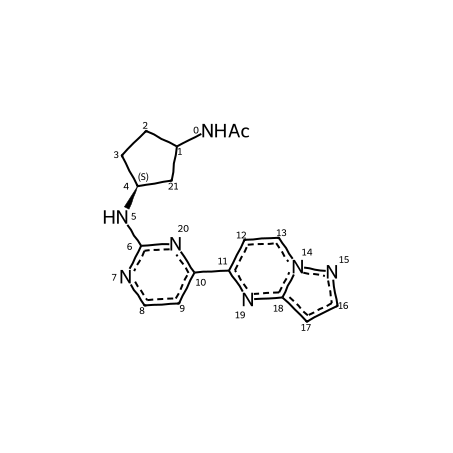 CC(=O)NC1CC[C@H](Nc2nccc(-c3ccn4nccc4n3)n2)C1